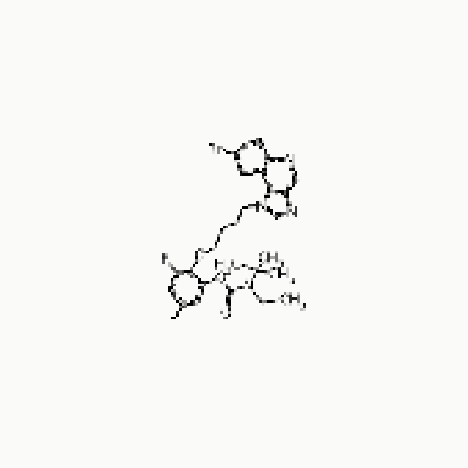 CCN(C(=O)Oc1cc(F)cc(F)c1OCCCCn1cnc2cnc3ccc(Br)cc3c21)C(C)(C)C